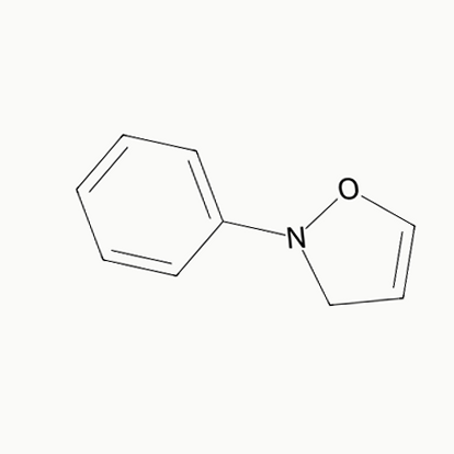 C1=CON(c2ccccc2)C1